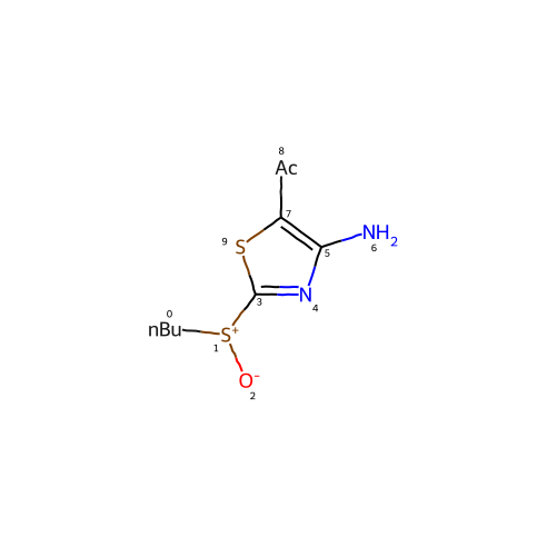 CCCC[S+]([O-])c1nc(N)c(C(C)=O)s1